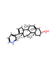 C[C@]12CC[C@H](O)CC1=CCC1[C@]2(C)CC[C@]2(C)C(c3cccnc3)=CC[C@@]12C